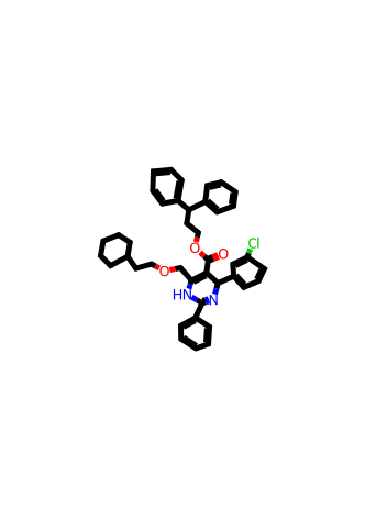 O=C(OCCC(c1ccccc1)c1ccccc1)C1=C(COCCC2CCCCC2)NC(c2ccccc2)=NC1c1cccc(Cl)c1